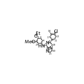 CCOc1ccc(Nc2nc(-c3ccc(Cl)c(C)c3)cn3ccnc23)cc1OC